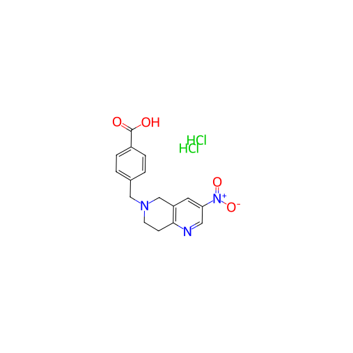 Cl.Cl.O=C(O)c1ccc(CN2CCc3ncc([N+](=O)[O-])cc3C2)cc1